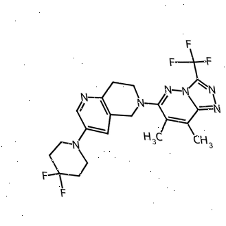 Cc1c(N2CCc3ncc(N4CCC(F)(F)CC4)cc3C2)nn2c(C(F)(F)F)nnc2c1C